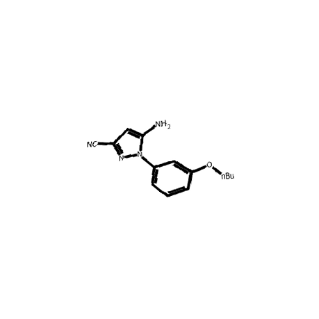 CCCCOc1cccc(-n2nc(C#N)cc2N)c1